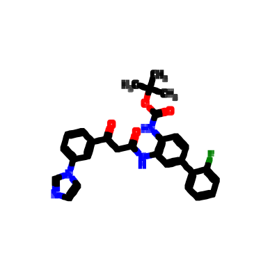 CC(C)(C)OC(=O)Nc1ccc(-c2ccccc2F)cc1NC(=O)CC(=O)c1cccc(-n2ccnc2)c1